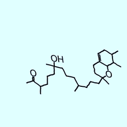 CC(=O)C(C)CCCC(C)(O)CCCC(C)CCCC1(C)CCC2=CCC(C)C(C)C2O1